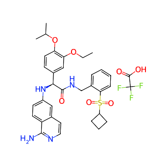 CCOc1cc([C@H](Nc2ccc3c(N)nccc3c2)C(=O)NCc2ccccc2S(=O)(=O)C2CCC2)ccc1OC(C)C.O=C(O)C(F)(F)F